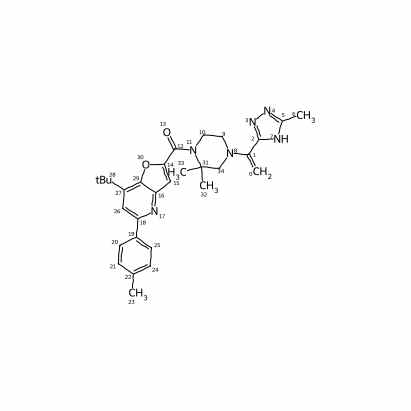 C=C(c1nnc(C)[nH]1)N1CCN(C(=O)c2cc3nc(-c4ccc(C)cc4)cc(C(C)(C)C)c3o2)C(C)(C)C1